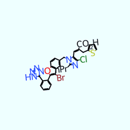 CCCc1nc(Cl)c(/C=C(\Cc2cccs2)C(=O)O)n1Cc1ccc2oc(-c3ccccc3-c3nnn[nH]3)c(Br)c2c1